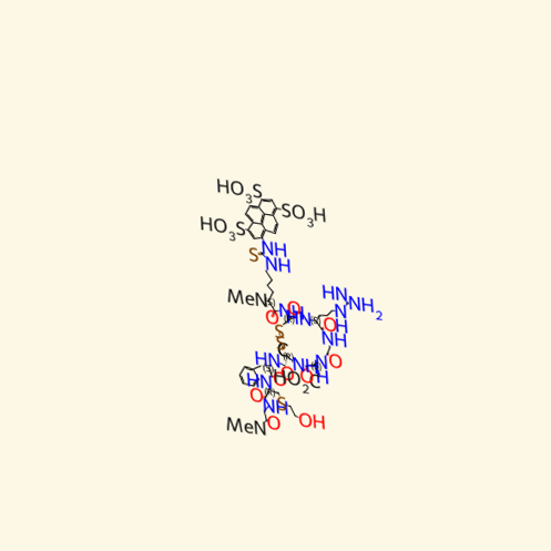 CNC(=O)CNC(=O)[C@H](CSCCO)NC(=O)[C@H](Cc1ccccc1)NC(=O)[C@@H]1CSSC[C@H](NC(=O)[C@H](CCCCNC(=S)Nc2cc(S(=O)(=O)O)c3ccc4c(S(=O)(=O)O)cc(S(=O)(=O)O)c5ccc2c3c54)NC)C(=O)N[C@@H](CCCNC(=N)N)C(=O)NCC(=O)N[C@@H](CC(=O)O)C(=O)N1